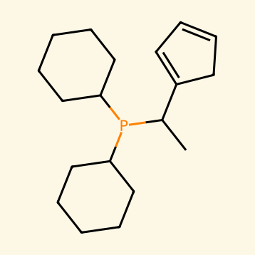 CC(C1=CC=CC1)P(C1CCCCC1)C1CCCCC1